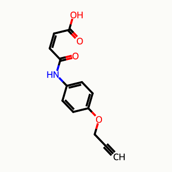 C#CCOc1ccc(NC(=O)/C=C\C(=O)O)cc1